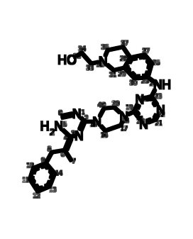 C=N/C(=N\C(N)=C(/C)Cc1ccccc1)N1CCN(c2ncnc(Nc3ccc4c(c3)CN(CCO)CC4)n2)CC1